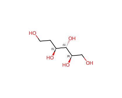 OCC[C@H](O)[C@H](O)[C@H](O)CO